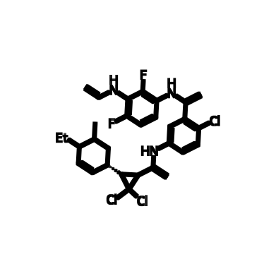 C=CNc1c(F)ccc(NC(=C)c2cc(NC(=C)C3C([C@@H]4C=CC(CC)C(C)C4)C3(Cl)Cl)ccc2Cl)c1F